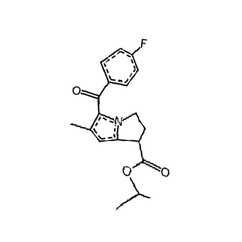 Cc1cc2n(c1C(=O)c1ccc(F)cc1)CCC2C(=O)OC(C)C